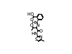 CC(=O)/C(=N\Nc1ccccc1C(=O)O)C(=O)Nc1nc(C)cs1